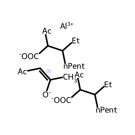 CC(=O)/C=C(/C)[O-].CCCCCC(CC)C(C(C)=O)C(=O)[O-].CCCCCC(CC)C(C(C)=O)C(=O)[O-].[Al+3]